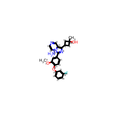 COc1cc(C2=NC(C3CC(C)(O)C3)=C3C=NC=C[N+]23N)ccc1Oc1cccc(F)c1